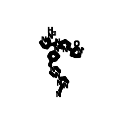 Cn1cccc(-c2ccc3nc(-c4cccnc4N)n(-c4ccc(CN5CCN(c6ccnc(C#N)n6)CC5)cc4)c3n2)c1=O